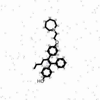 CCCC/C(=C(/c1ccccc1)c1ccc(O)cc1)c1ccc(OCCN2CCCCCC2)cc1